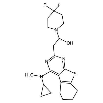 CN(c1nc(CC(O)N2CCC(F)(F)CC2)nc2sc3c(c12)CCCC3)C1CC1